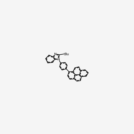 CC(C)(C)c1nc2ccccc2n1-c1ccc(-c2ccc3ccc4cccc5ccc2c3c45)cc1